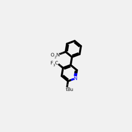 CC(C)(C)c1cc(C(F)(F)F)c(-c2ccccc2[N+](=O)[O-])cn1